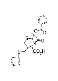 O=C(O)C1=C(CSc2ccccc2)CSC2[C@@H](OC(=O)c3ccccc3)C(=O)N12